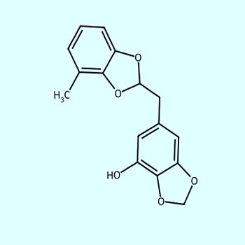 Cc1cccc2c1OC(Cc1cc(O)c3c(c1)OCO3)O2